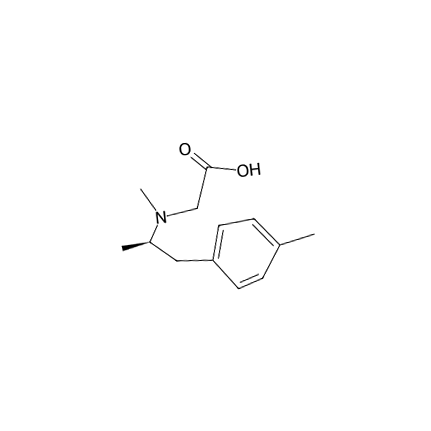 Cc1ccc(C[C@@H](C)N(C)CC(=O)O)cc1